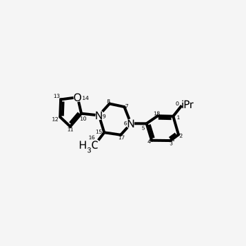 CC(C)c1c[c]cc(N2CCN(c3ccco3)C(C)C2)c1